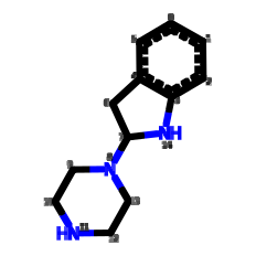 c1ccc2c(c1)CC(N1CCNCC1)N2